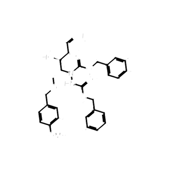 C=CC[C@H](O)[C@@H](COCc1ccc(OC)cc1)N(NC(=O)OCc1ccccc1)C(=O)OCc1ccccc1